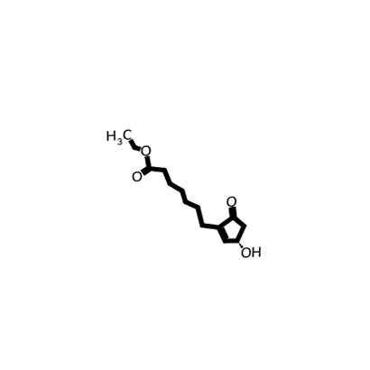 CCOC(=O)CCCCCCC1=C[C@@H](O)CC1=O